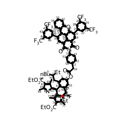 CCCCC(CC)Cc1cc(OC(=O)Cc2ccc(-n3c(=O)c4cc(-c5cc(C(F)(F)F)cc(C(F)(F)F)c5)c5oc6ccccc6c6c(-c7cc(C(F)(F)F)cc(C(F)(F)F)c7)cc(c3=O)c4c56)cc2)cc(CC(CC)CCCC)c1/C(=C1/N=C(C)C(C(=O)OCC)=C1C)c1c(C)c(C(=O)OCC)c(C)n1B(F)F